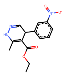 CCOC(=O)C1=C(C)NN=CC1c1cccc([N+](=O)[O-])c1